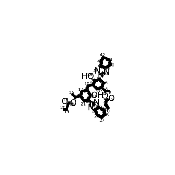 C=CC(=O)OC(C)c1cc(Cc2cc(C(C)OC(=O)C=C)cc(-n3nc4ccccc4n3)c2O)c(O)c(-n2nc3ccccc3n2)c1